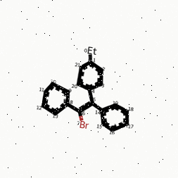 CCc1ccc(/C(=C(/Br)c2ccccc2)c2ccccc2)cc1